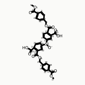 COC(=O)c1ccc(COC(=O)c2ccc([S+]([O-])c3ccc(C(=O)O)c(C(=O)OCc4ccc(C(=O)OC)cc4)c3)cc2C(=O)O)cc1